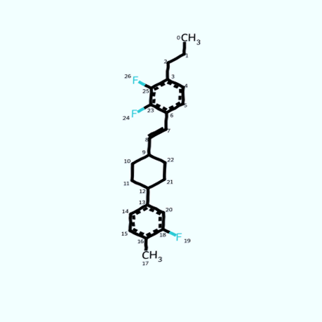 CCCc1ccc(/C=C/C2CCC(c3ccc(C)c(F)c3)CC2)c(F)c1F